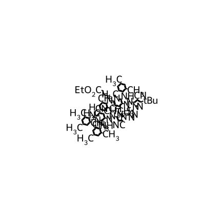 CCOC(=O)CCCN(c1cc(C)c(N=Nc2c(C#N)c(C(C)(C)C)nn2-c2nnc(-n3cc(C#N)c(N=Nc4c(Nc5c(C)cc(C)cc5C)nc(Nc5c(C)cc(C)cc5C)c(C#N)c4C)n3)s2)c(Nc2c(C)cc(C)cc2C)n1)c1c(C)cc(C)cc1C